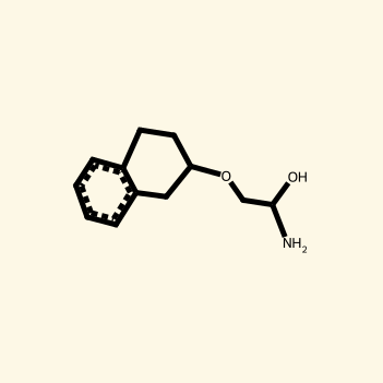 NC(O)COC1CCc2ccccc2C1